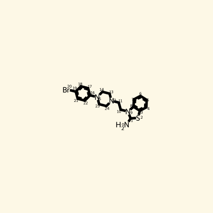 NC1Sc2ccccc2N1CCN1CCN(c2ccc(Br)cc2)CC1